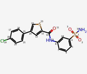 NS(=O)(=O)c1cccc(NC(=O)c2cc(-c3ccc(Cl)cc3)cs2)c1